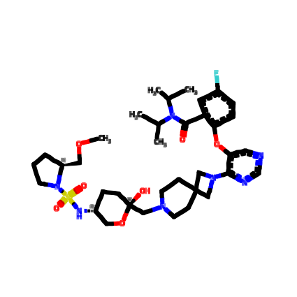 COC[C@@H]1CCCN1S(=O)(=O)N[C@@H]1CC[C@](O)(CN2CCC3(CC2)CN(c2ncncc2Oc2ccc(F)cc2C(=O)N(C(C)C)C(C)C)C3)OC1